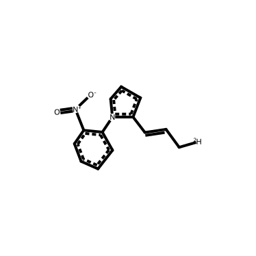 [2H]CC=Cc1cccn1-c1ccccc1[N+](=O)[O-]